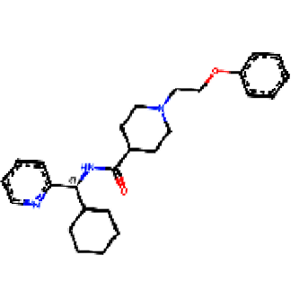 O=C(N[C@H](c1ccccn1)C1CCCCC1)C1CCN(CCOc2ccccc2)CC1